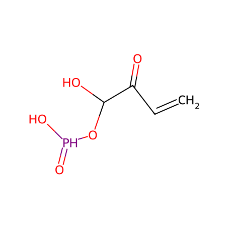 C=CC(=O)C(O)O[PH](=O)O